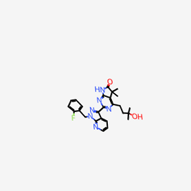 CC(C)(O)CCc1nc(-c2nn(Cc3ccccc3F)c3ncccc23)nc2c1C(C)(C)C(=O)N2